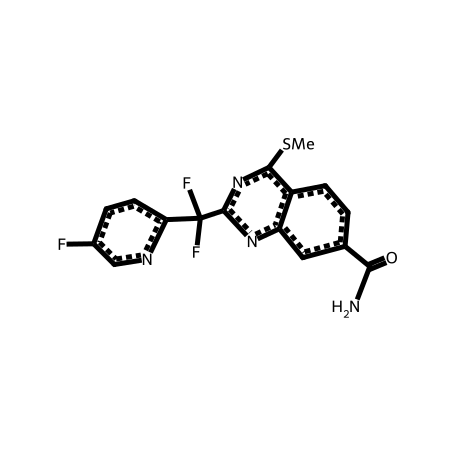 CSc1nc(C(F)(F)c2ccc(F)cn2)nc2cc(C(N)=O)ccc12